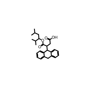 CC(C)CC(OC(=O)C(CC(=O)O)C1c2ccccc2Cc2ccccc21)C(C)C